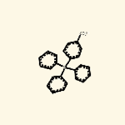 O=C(O)c1ccc([Si](c2ccccc2)(c2ccccc2)c2ccccc2)cc1